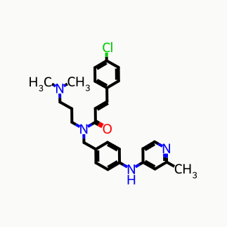 Cc1cc(Nc2ccc(CN(CCCN(C)C)C(=O)C=Cc3ccc(Cl)cc3)cc2)ccn1